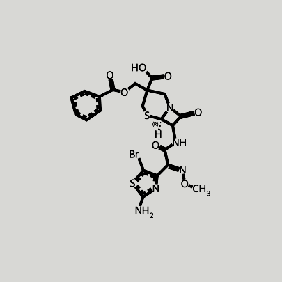 CON=C(C(=O)NC1C(=O)N2CC(COC(=O)c3ccccc3)(C(=O)O)CS[C@H]12)c1nc(N)sc1Br